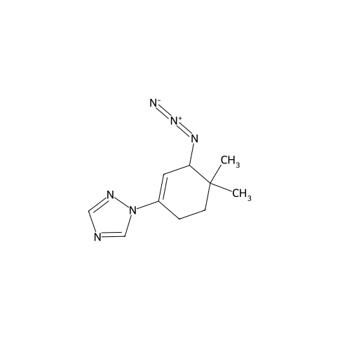 CC1(C)CCC(n2cncn2)=CC1N=[N+]=[N-]